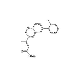 COC(=O)C=C(C)c1cnc2ccc(-c3ccccc3C)cc2c1